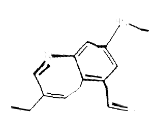 CCc1cnc2cc(NC)cc(C=O)c2c1